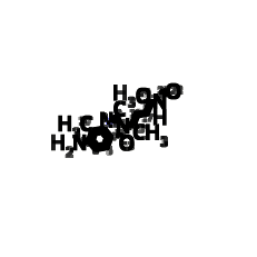 C/C(=N/c1cccc(N)c1C)N(C=O)C(C)CCC(=O)NC=O